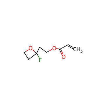 C=CC(=O)OCCC1(F)CCO1